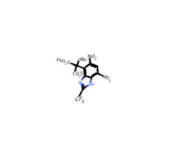 CCCCC(C(=O)OCC)(C(=O)OCC)c1c([N+](=O)[O-])cc([N+](=O)[O-])c2[nH]c(C(F)(F)F)nc12